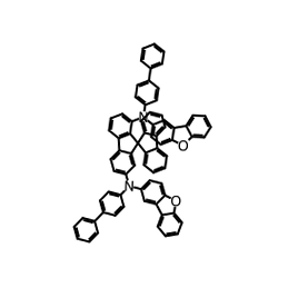 c1ccc(-c2ccc(N(c3ccc4c(c3)C3(c5ccccc5-c5ccccc53)c3c-4cccc3N(c3ccc(-c4ccccc4)cc3)c3ccc4oc5ccccc5c4c3)c3ccc4oc5ccccc5c4c3)cc2)cc1